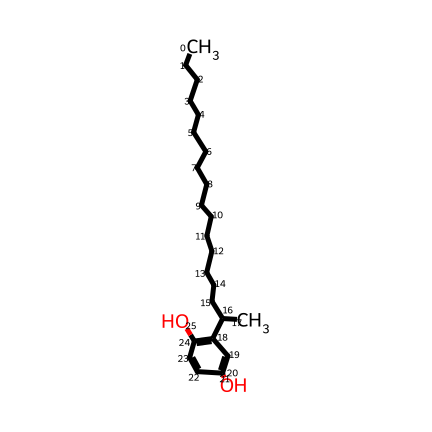 CCCCCCCCCCCCCCCCC(C)c1cc(O)ccc1O